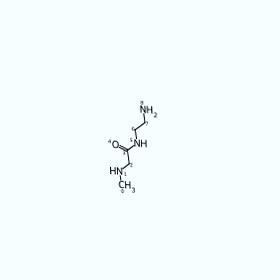 CNCC(=O)NCCN